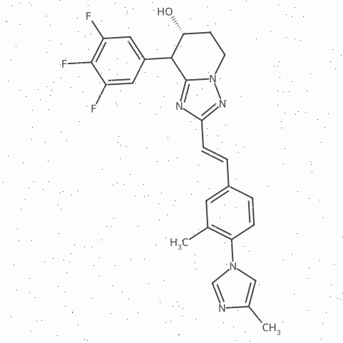 Cc1cn(-c2ccc(/C=C/c3nc4n(n3)CC[C@@H](O)C4c3cc(F)c(F)c(F)c3)cc2C)cn1